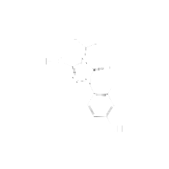 Cc1nn(-c2ccc(S)cc2F)c(=O)n1C(F)F